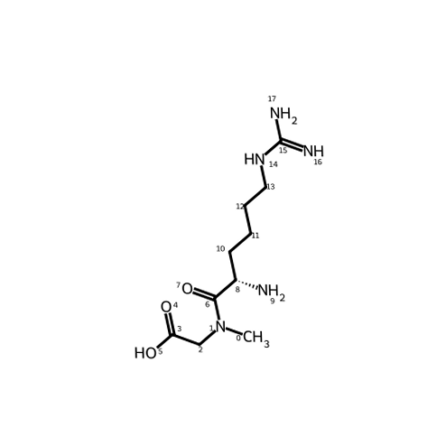 CN(CC(=O)O)C(=O)[C@@H](N)CCCCNC(=N)N